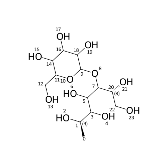 C[C@@H](O)C(O)C(O)C(OC1OC(CO)C(O)C(O)C1O)[C@H](O)CO